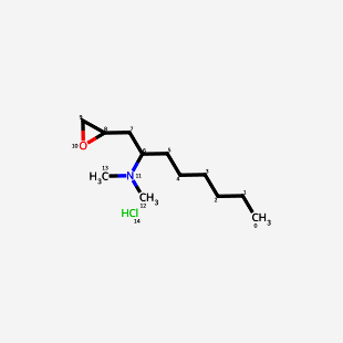 CCCCCCC(CC1CO1)N(C)C.Cl